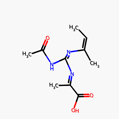 C\C=C(C)/N=C(\N=C(/C)C(=O)O)NC(C)=O